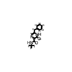 CC(C)(C)NC(=O)c1ncc(Cc2ccccc2)[nH]c1=O